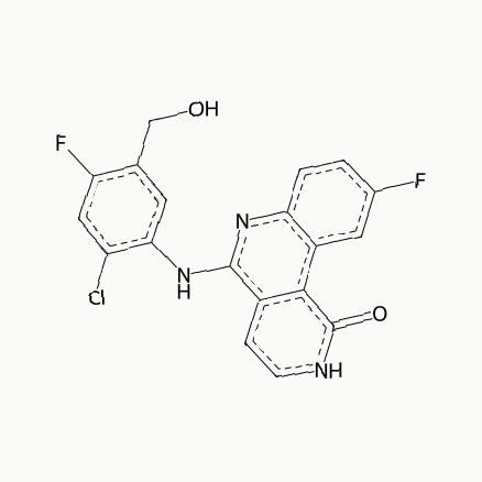 O=c1[nH]ccc2c(Nc3cc(CO)c(F)cc3Cl)nc3ccc(F)cc3c12